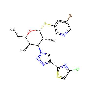 CC(=O)OC[C@H]1O[C@H](Sc2cncc(Br)c2)[C@H](OC(C)=O)[C@@H](n2cc(-c3nc(Cl)cs3)nn2)[C@H]1OC(C)=O